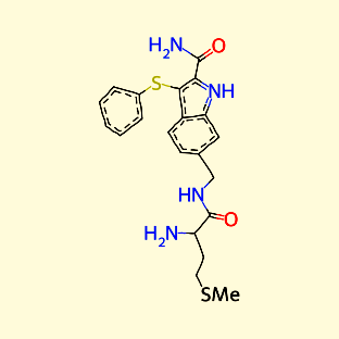 CSCCC(N)C(=O)NCc1ccc2c(Sc3ccccc3)c(C(N)=O)[nH]c2c1